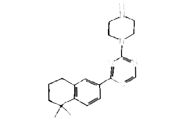 CC1(C)CCCc2cc(-c3ncnc(N4CCNCC4)n3)ccc21